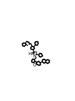 Cc1ccccc1/C=C\C=C\c1ccc(C(=N)/N=C(\N=C\c2cccc3oc4ccc(-c5ccc6ccccc6c5)cc4c23)c2ccccc2)cc1-c1ccccc1